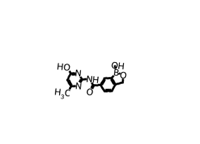 Cc1cc(O)nc(NC(=O)c2ccc3c(c2)B(O)OC3)n1